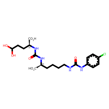 O=C(NCCCC[C@H](NC(=O)N[C@@H](CCC(O)O)C(=O)O)C(=O)O)Nc1ccc(Cl)cc1